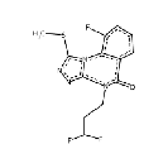 CSc1nnc2n(CCC(F)F)c(=O)c3cccc(F)c3n12